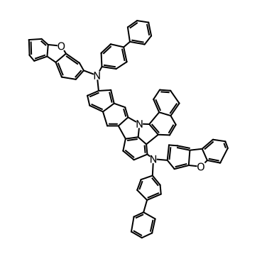 c1ccc(-c2ccc(N(c3ccc4cc5c6ccc(N(c7ccc(-c8ccccc8)cc7)c7ccc8c(c7)oc7ccccc78)c7c8ccc9ccccc9c8n(c5cc4c3)c67)c3ccc4c(c3)oc3ccccc34)cc2)cc1